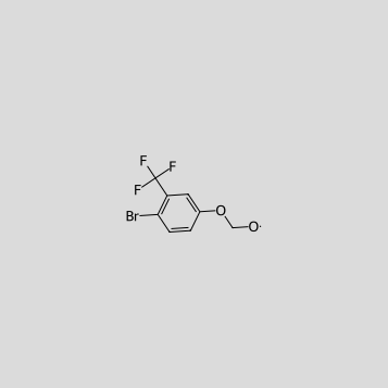 [O]COc1ccc(Br)c(C(F)(F)F)c1